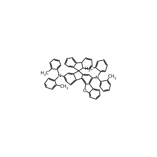 Cc1ccccc1N(c1ccc2c(c1)C1(c3ccccc3C3C=CC=CC31)c1cc(N(c3ccccc3C)c3ccccc3C)c3c(oc4ccccc43)c1-2)c1ccccc1C